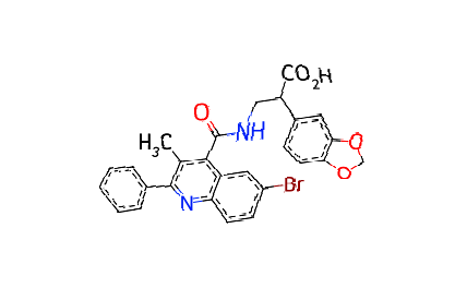 Cc1c(-c2ccccc2)nc2ccc(Br)cc2c1C(=O)NCC(C(=O)O)c1ccc2c(c1)OCO2